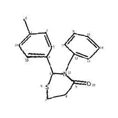 Cc1ccc(C2SCCC(=O)N2c2ccccc2)cc1